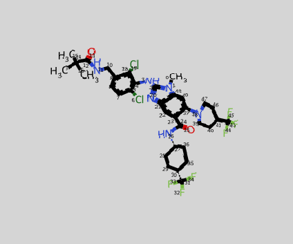 Cn1c(Nc2c(Cl)ccc(CNC(=O)C(C)(C)C)c2Cl)nc2cc(C(=O)N[C@H]3CC[C@@H](C(F)(F)F)CC3)c(N3CCC(C(F)(F)F)CC3)cc21